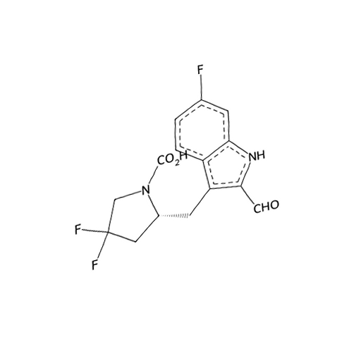 O=Cc1[nH]c2cc(F)ccc2c1C[C@@H]1CC(F)(F)CN1C(=O)O